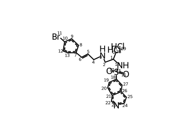 CC(CNC/C=C/c1ccc(Br)cc1)NS(=O)(=O)c1ccc2cnccc2c1.Cl.Cl